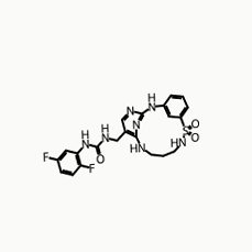 O=C(NCc1cnc2nc1NCCCNS(=O)(=O)c1cccc(c1)N2)Nc1cc(F)ccc1F